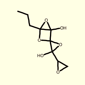 CCCC12OC1(O)C1(O2)OC1(O)C1CO1